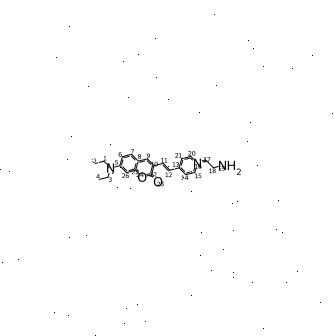 CCN(CC)c1ccc2cc(/C=C/c3cc[n+](CCN)cc3)c(=O)oc2c1